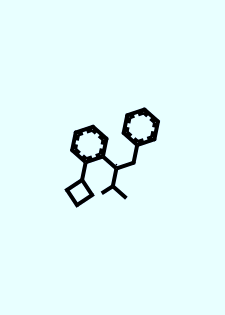 CC(C)[C](Cc1ccccc1)c1ccccc1C1CCC1